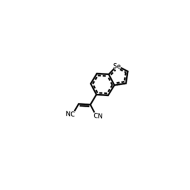 N#C/C=C(\C#N)c1ccc2[se]ccc2c1